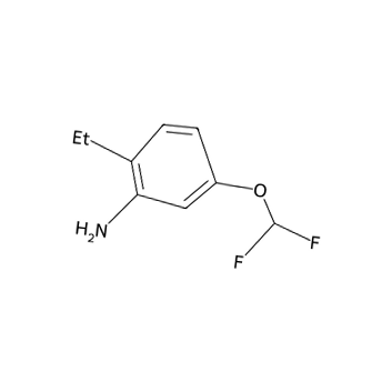 CCc1ccc(OC(F)F)cc1N